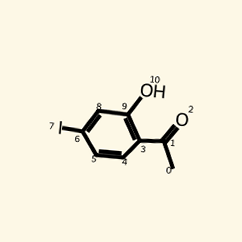 CC(=O)c1ccc(I)cc1O